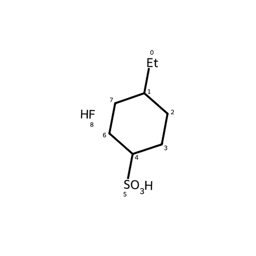 CCC1CCC(S(=O)(=O)O)CC1.F